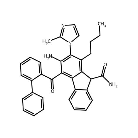 CCCCc1c2c(c(C(=O)c3ccccc3-c3ccccc3)c(N)c1-n1ccnc1C)-c1ccccc1C2C(N)=O